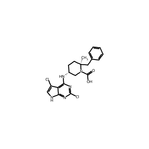 C[C@@]1(Cc2ccccc2)CC[C@@H](Nc2nc(Cl)nc3[nH]cc(Cl)c23)CN1C(=O)O